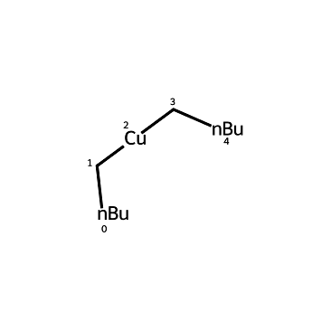 CCCC[CH2][Cu][CH2]CCCC